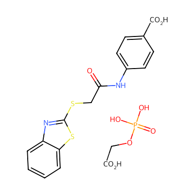 O=C(CSc1nc2ccccc2s1)Nc1ccc(C(=O)O)cc1.O=C(O)COP(=O)(O)O